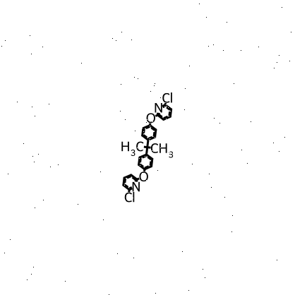 CC(C)(c1ccc(Oc2cccc(Cl)n2)cc1)c1ccc(Oc2cccc(Cl)n2)cc1